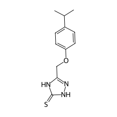 CC(C)c1ccc(OCc2n[nH]c(=S)[nH]2)cc1